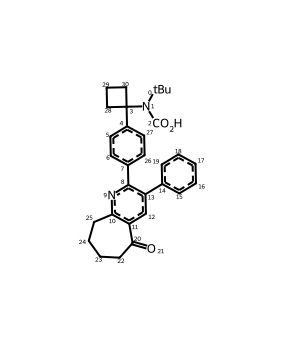 CC(C)(C)N(C(=O)O)C1(c2ccc(-c3nc4c(cc3-c3ccccc3)C(=O)CCCC4)cc2)CCC1